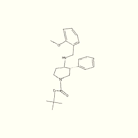 COc1ccccc1CNC1CCN(C(=O)OC(C)(C)C)CC1c1ccccc1